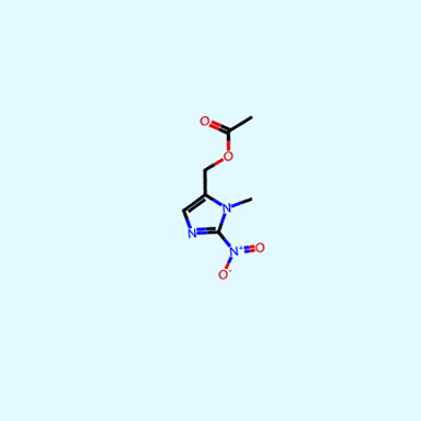 CC(=O)OCc1cnc([N+](=O)[O-])n1C